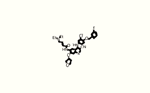 CCN(CC)C/C=C/C(=O)Nc1cc2c(Nc3ccc(OCc4cccc(F)c4)c(Cl)c3)c(C#N)cnc2cc1O[C@H]1CCOC1